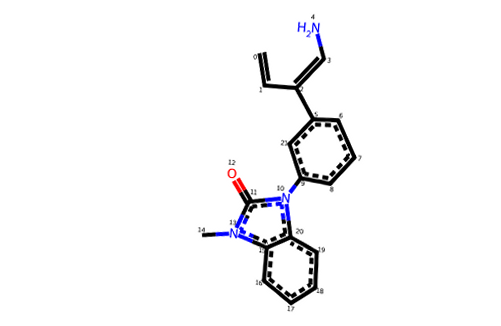 C=C/C(=C\N)c1cccc(-n2c(=O)n(C)c3ccccc32)c1